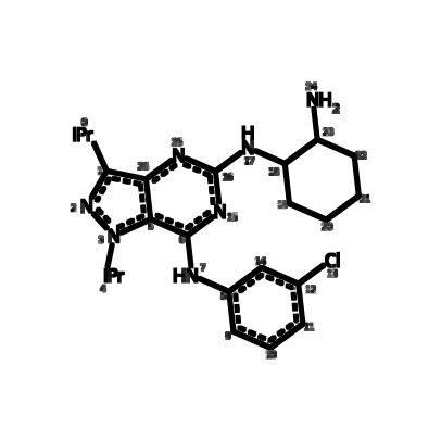 CC(C)c1nn(C(C)C)c2c(Nc3cccc(Cl)c3)nc(NC3CCCCC3N)nc12